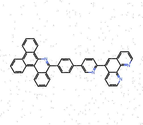 c1cnc2c(c1)cc(-c1ccc(-c3ccc(-c4nc5c6ccccc6c6ccccc6c5c5ccccc45)cc3)cn1)c1cccnc12